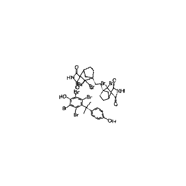 CC(C)(c1ccc(O)cc1)c1c(Br)c(Br)c(O)c(Br)c1Br.O=C1NC(=O)C12C1CCC(CCC34CCC(C3)C3(C(=O)NC3=O)C4(Br)Br)(C1)C2(Br)Br